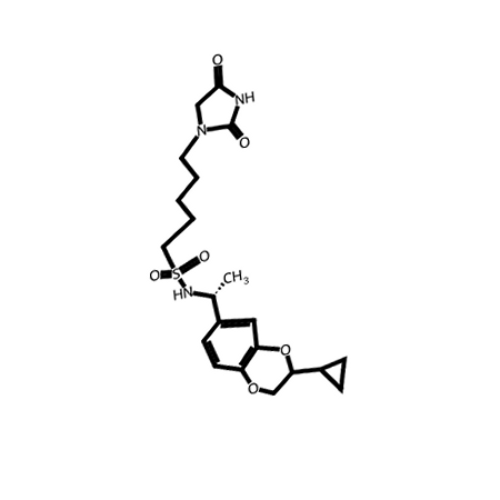 C[C@@H](NS(=O)(=O)CCCCCN1CC(=O)NC1=O)c1ccc2c(c1)OC(C1CC1)CO2